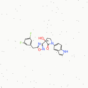 O=C1N(c2ccc3[nH]ccc3c2)CC[C@@]1(O)c1noc(Cc2cc(F)cc(F)c2)n1